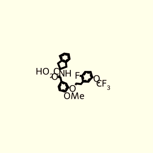 COc1ccc(C(=O)NC2(C(=O)O)Cc3ccccc3C2)cc1OCCc1cc(OC(F)(F)F)ccc1F